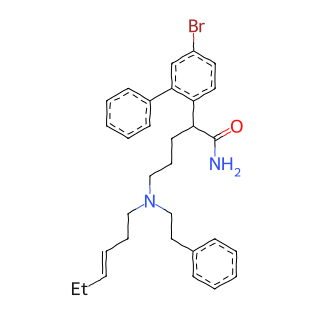 CCC=CCCN(CCCC(C(N)=O)c1ccc(Br)cc1-c1ccccc1)CCc1ccccc1